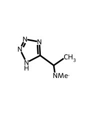 C[N]C(C)c1nnn[nH]1